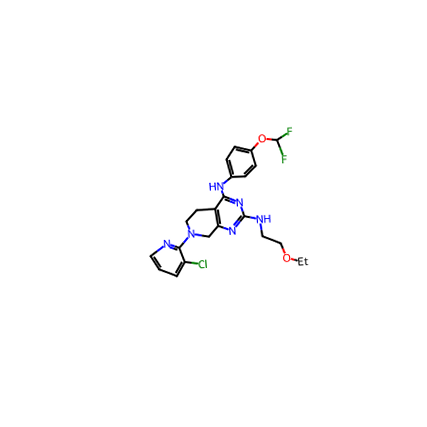 CCOCCNc1nc2c(c(Nc3ccc(OC(F)F)cc3)n1)CCN(c1ncccc1Cl)C2